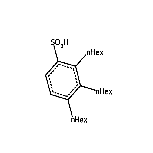 CCCCCCc1ccc(S(=O)(=O)O)c(CCCCCC)c1CCCCCC